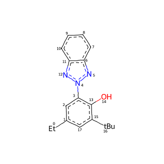 CCc1cc(-n2nc3ccccc3n2)c(O)c(C(C)(C)C)c1